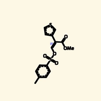 COC(=O)/C(=C\OS(=O)(=O)c1ccc(C)cc1)c1ccsc1